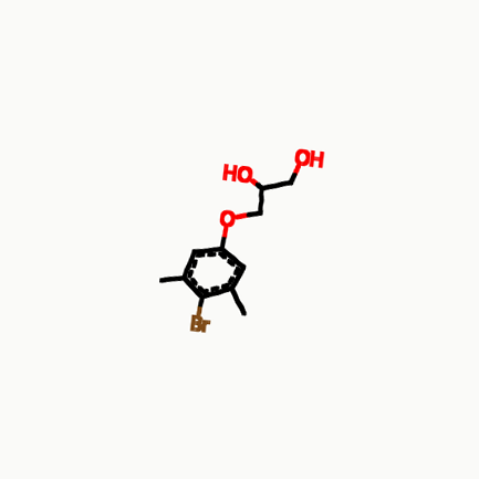 Cc1cc(OCC(O)CO)cc(C)c1Br